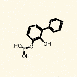 Oc1c(OP(O)O)cccc1-c1ccccc1